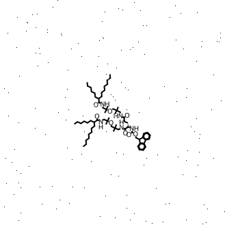 CCCCCCCCC(CCCCCC)C(=O)NCC(C)(C)OCC(C)(C)CNC(=O)CC[C@H](NC(=O)OCC1c2ccccc2-c2ccccc21)C(=O)NCC(C)(C)COC(C)(C)CNC(=O)C(CCCCCC)CCCCCCCC